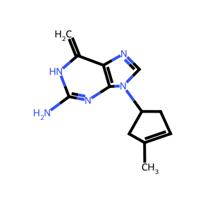 C=C1NC(N)=Nc2c1ncn2C1CC=C(C)C1